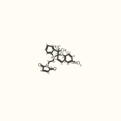 CC1(C)c2ccccc2N(CCN2C(=O)C=CC2=O)C12C=Cc1cc([N+](=O)[O-])ccc1O2